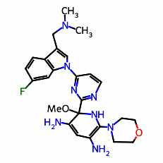 COC1(c2nccc(-n3cc(CN(C)C)c4ccc(F)cc43)n2)NC(N2CCOCC2)=C(N)C=C1N